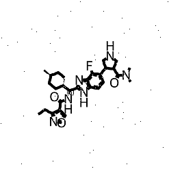 CCc1nocc1C(=O)N[C@H](c1nc2c(F)c(C3CNCC3C(=O)N(C)C)ccc2[nH]1)[C@H]1CC[C@H](C)CC1